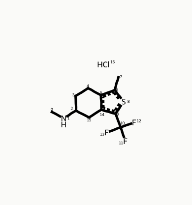 CNC1CCc2c(C)sc(C(F)(F)F)c2C1.Cl